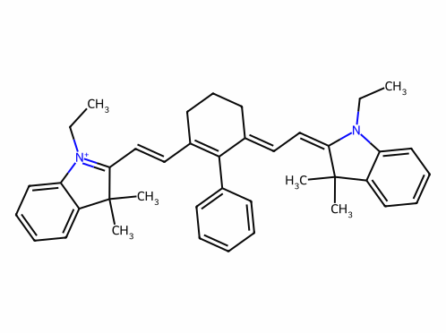 CCN1/C(=C/C=C2\CCCC(/C=C/C3=[N+](CC)c4ccccc4C3(C)C)=C2c2ccccc2)C(C)(C)c2ccccc21